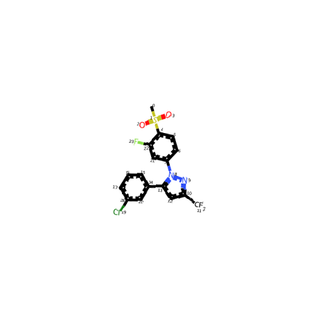 CS(=O)(=O)c1ccc(-n2nc(C(F)(F)F)cc2-c2cccc(Cl)c2)cc1F